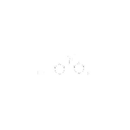 COc1ccc(C(=NO)c2ccc(Br)cc2F)cc1